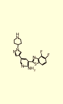 Nc1ncc(-c2cnn(C3CCNCC3)c2)cc1-c1nc2c(F)c(F)ccc2s1